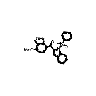 COc1ccc(C(=O)c2cc3ccccc3n2S(=O)(=O)c2ccccc2)c(OC)c1C